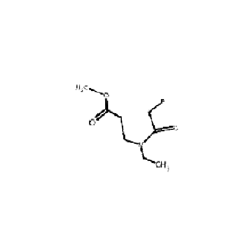 CCN(CCC(=O)OC)C(=O)CF